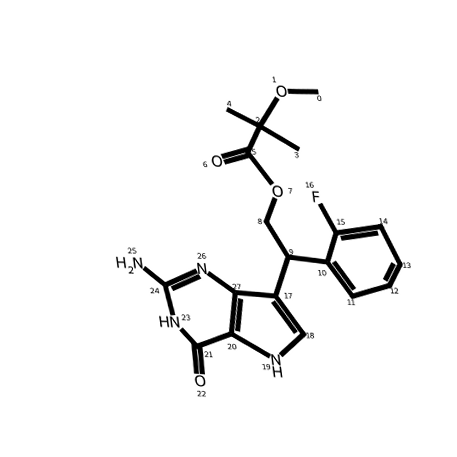 COC(C)(C)C(=O)OCC(c1ccccc1F)c1c[nH]c2c(=O)[nH]c(N)nc12